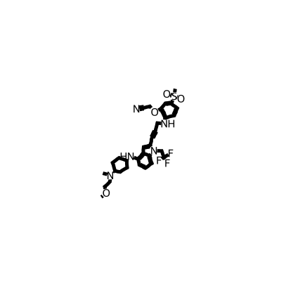 COCCN(C)[C@H]1CC[C@H](Nc2cccc3c2cc(C#CCNc2ccc(S(C)(=O)=O)cc2OCC#N)n3CC(F)(F)F)CC1